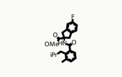 COC(=O)[C@@]1(NC(=O)c2cccc(C)c2CC(C)C)Cc2ccc(F)cc2C1